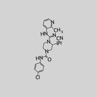 Cc1ncccc1N/C(=N/C#N)N1CCN(C(=O)Nc2ccc(Cl)cc2)CC1C(C)C